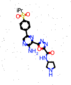 CC(C)S(=O)(=O)c1ccc(-c2cnc(N)c(-c3nnc(C(=O)NC4CCNC4)o3)n2)cc1